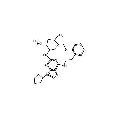 COc1ccccc1CCNc1nc(NC2CCC(N)CC2)nc2c1ncn2C1CCCC1.Cl.Cl